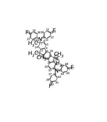 CC1(C)C2=C(C=CC(C)(N(c3ccc(F)cc3)c3ccc(F)cc3)C2)c2cc3c(cc21)-c1ccc(N(c2ccc(F)cc2)c2ccc(F)cc2)cc1C3(C)C